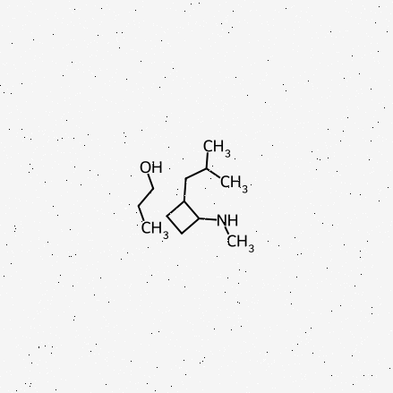 CCCO.CNC1CCC1CC(C)C